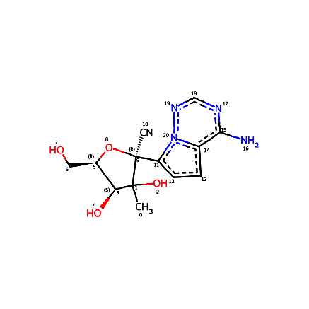 CC1(O)[C@@H](O)[C@@H](CO)O[C@@]1(C#N)c1ccc2c(N)ncnn12